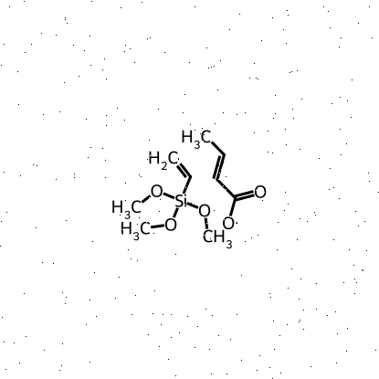 C=C[Si](OC)(OC)OC.CC=CC([O])=O